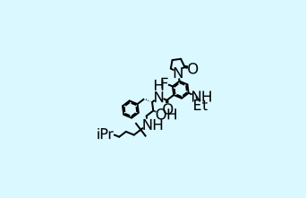 CCNc1cc(C(=O)N[C@@H](Cc2ccccc2)[C@@H](O)CNC(C)(C)CCCC(C)C)c(F)c(N2CCCC2=O)c1